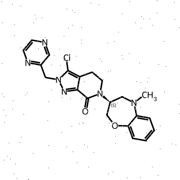 CN1C[C@H](N2CCc3c(nn(Cc4cnccn4)c3Cl)C2=O)COc2ccccc21